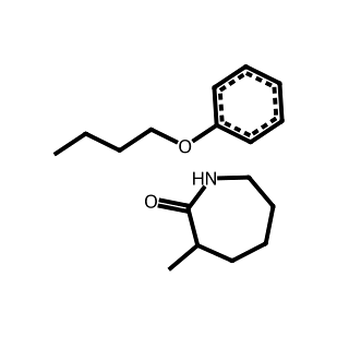 CC1CCCCNC1=O.CCCCOc1ccccc1